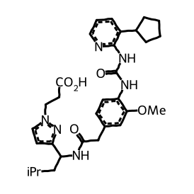 COc1cc(CC(=O)NC(CC(C)C)c2ccn(CCC(=O)O)n2)ccc1NC(=O)Nc1ncccc1C1CCCC1